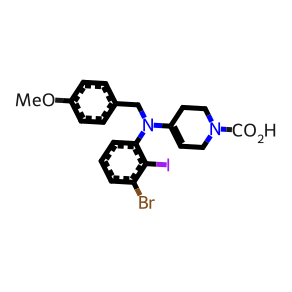 COc1ccc(CN(C2=CCN(C(=O)O)CC2)c2cccc(Br)c2I)cc1